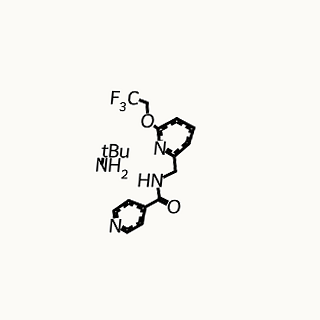 CC(C)(C)N.O=C(NCc1cccc(OCC(F)(F)F)n1)c1ccncc1